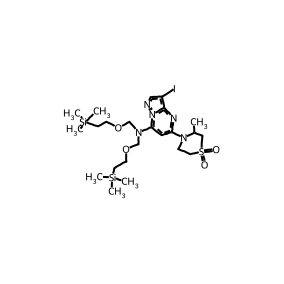 CC1CS(=O)(=O)CCN1c1cc(N(COCC[Si](C)(C)C)COCC[Si](C)(C)C)n2ncc(I)c2n1